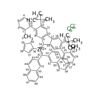 Cc1ccccc1-c1cc2c(cc1C(C)(C)C)-c1cc(C(C)(C)C)c(-c3ccccc3C)cc1[CH]2[Zr+2]([C]1=CC=CC1)=[C](c1ccc2ccccc2c1)c1ccc2ccccc2c1.[Cl-].[Cl-]